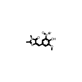 COc1cc(/C=C2/N=C(C)N(C)C2=O)cc([N+](=O)[O-])c1O